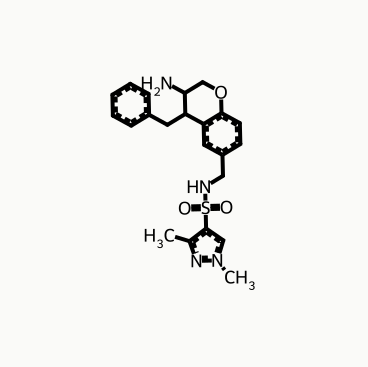 Cc1nn(C)cc1S(=O)(=O)NCc1ccc2c(c1)C(Cc1ccccc1)C(N)CO2